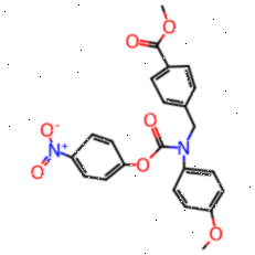 COC(=O)c1ccc(CN(C(=O)Oc2ccc([N+](=O)[O-])cc2)c2ccc(OC)cc2)cc1